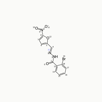 O=C(N/N=C/c1ccc([N+](=O)[O-])o1)c1ccccc1Br